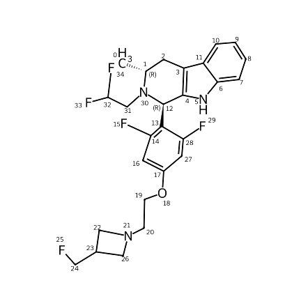 C[C@@H]1Cc2c([nH]c3ccccc23)[C@@H](c2c(F)cc(OCCN3CC(CF)C3)cc2F)N1CC(F)F